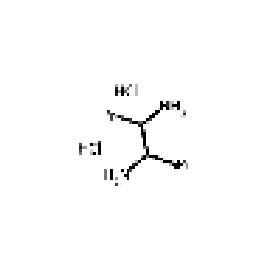 CC(C)C(N)C(N)C(C)C.Cl.Cl